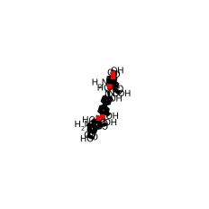 Nc1cc(S(=O)(=O)O)cc2cc(S(=O)(=O)O)c(N=Nc3ccc(-c4ccc(N=Nc5c(S(=O)(=O)O)cc6cc(S(=O)(=O)O)cc(N)c6c5O)c(O)c4)cc3O)c(O)c12